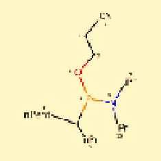 CCCCCC(CCC)P(OCCC#N)N(C(C)C)C(C)C